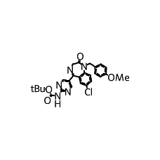 COc1ccc(CN2C(=O)CN=C(c3cnc(NC(=O)OC(C)(C)C)nc3)c3cc(Cl)ccc32)cc1